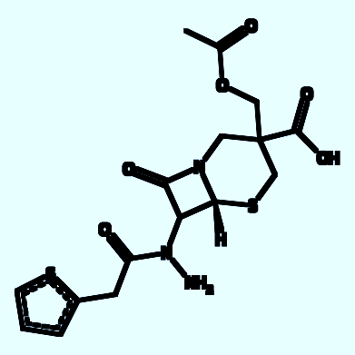 CC(=O)OCC1(C(=O)O)CS[C@@H]2C(N(N)C(=O)Cc3cccs3)C(=O)N2C1